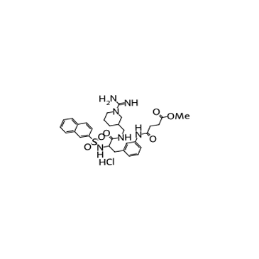 COC(=O)CCC(=O)Nc1cccc(CC(NS(=O)(=O)c2ccc3ccccc3c2)C(=O)NCC2CCCN(C(=N)N)C2)c1.Cl